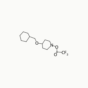 O=C(ON1CCC(OCC2CCCCC2)CC1)C(F)(F)F